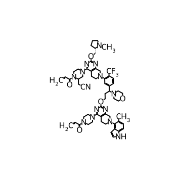 C=CC(=O)N1CCN(c2nc(OCCC(c3ccc(C(F)(F)F)c(N4CCc5c(nc(OC[C@@H]6CCCN6C)nc5N5CCN(C(=O)C=C)C(CC#N)C5)C4)c3)N3CCOCC3)nc3c2CCN(c2c(C)ccc4[nH]ccc24)C3)CC1